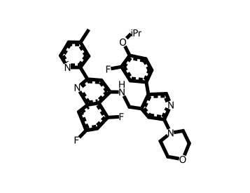 Cc1ccnc(-c2cc(NCc3cc(N4CCOCC4)ncc3-c3ccc(OC(C)C)c(F)c3)c3c(F)cc(F)cc3n2)c1